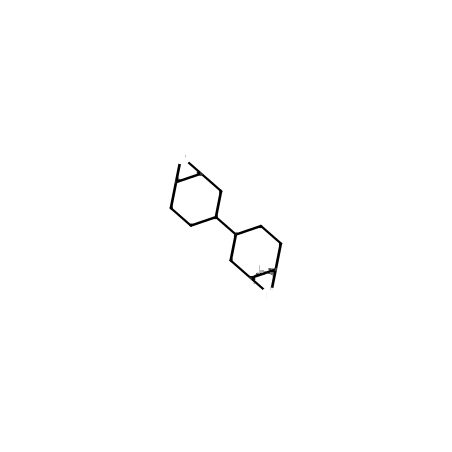 CC[C@]12CC(C3CCC4OC4C3)CCC1O2